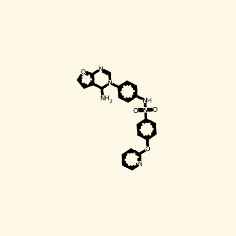 NC1c2ccoc2N=CN1c1ccc(NS(=O)(=O)c2ccc(Oc3ccccn3)cc2)cc1